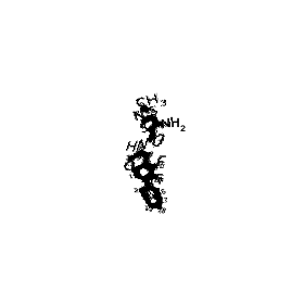 Cc1nc2sc(C(=O)N[C@H]3COc4cc(C5CC6CCC(C5)N6)c(F)c(F)c4C3)c(N)c2s1